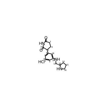 Cl.O=C1CCC(c2cccc(NC[C@H]3CCCN3)c2)C(=O)N1